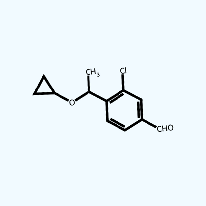 CC(OC1CC1)c1ccc(C=O)cc1Cl